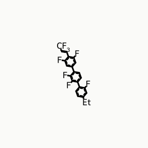 CCc1ccc(-c2ccc(-c3cc(F)c(/C=C/C(F)(F)F)c(F)c3)c(F)c2F)c(F)c1